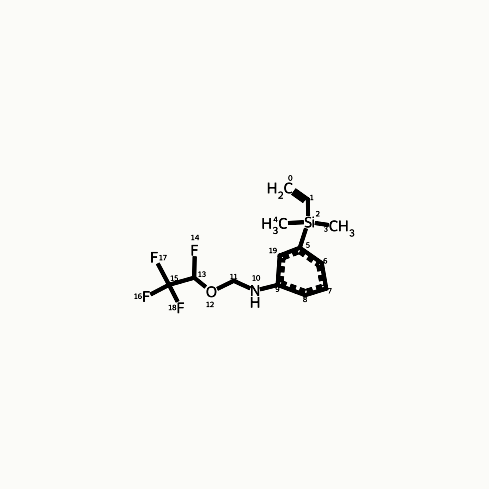 C=C[Si](C)(C)c1cccc(NCOC(F)C(F)(F)F)c1